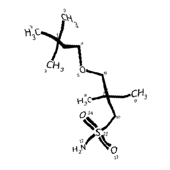 CC(C)(C)COCC(C)(C)CS(N)(=O)=O